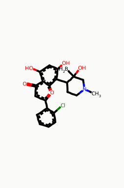 BC1(O)CN(C)CCC1c1c(O)cc(O)c2c(=O)cc(-c3ccccc3Cl)oc12